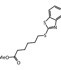 COC(=O)CCCCCSc1nc2ccccc2s1